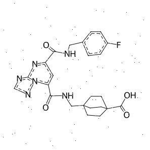 O=C(NCc1ccc(F)cc1)c1cc(C(=O)NCC23CCC(C(=O)O)(CC2)CC3)n2ncnc2n1